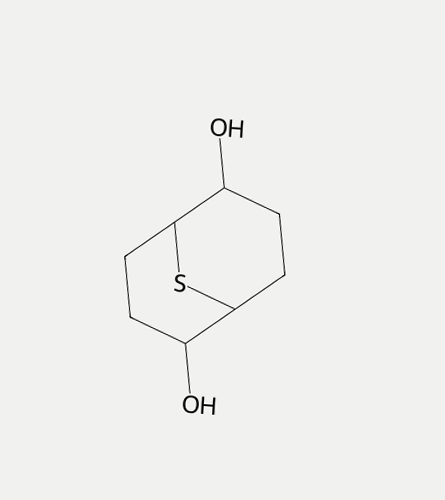 OC1CCC2SC1CCC2O